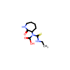 CCNC(=S)N(C(=O)O)C1CCCCNC1=O